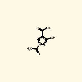 CC(=O)c1cn(C(C)=O)nc1O